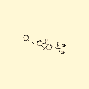 NC(CO)(CO)CCc1ccc2sc3cc(CCCc4ccccc4)ccc3c(=O)c2c1